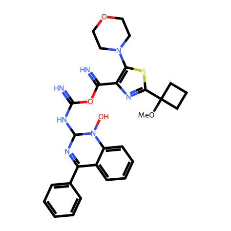 COC1(c2nc(C(=N)OC(=N)NC3N=C(c4ccccc4)c4ccccc4N3O)c(N3CCOCC3)s2)CCC1